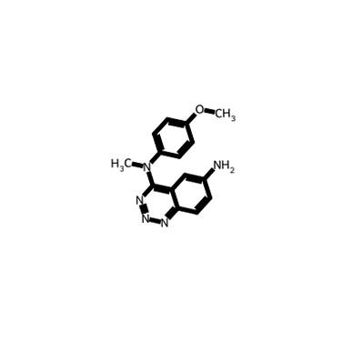 COc1ccc(N(C)c2nnnc3ccc(N)cc23)cc1